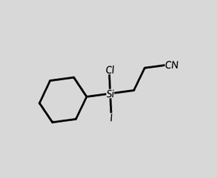 N#CCC[Si](Cl)(I)C1CCCCC1